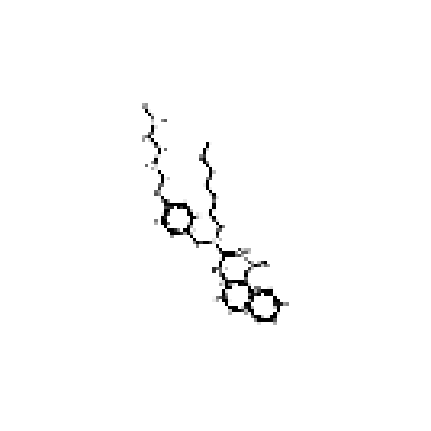 CCCCCCCN(Cc1ccc(OCOCCOC)cc1)C(=O)Nc1ccc2ccccc2c1OC